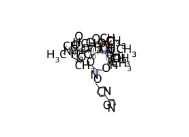 CC[C@H]1OC(=O)[C@H](C)C(=O)[C@H](C)[C@@H](O[C@@H]2O[C@H](C)C[C@H](N(C)C)[C@H]2OC(C)=O)[C@@]2(C)C[C@@H](C)/C(=N\C(C)=O)[C@H](C)[C@@H](OC/C(=N\OCc3ccc(-c4ccno4)nc3)CO2)[C@]1(C)O